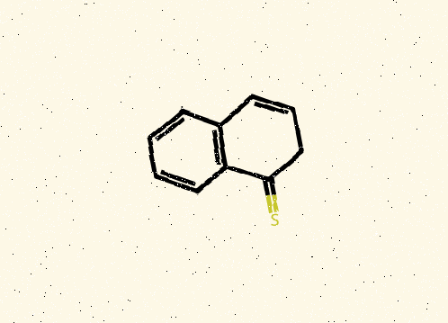 S=C1CC=Cc2[c]cc[c]c21